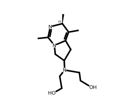 CC1=N[C@@H](C)C(C)=C2CC(N(CCO)CCO)CN12